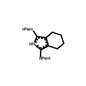 CCCCCc1[nH]c(CCCCC)c2c1CCCC2